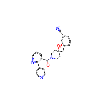 N#Cc1cccc(CC2(O)CCN(C(=O)c3cccnc3-c3ccncc3)CC2)c1